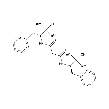 CCCC(O)(CCC)[C@@H](Cc1ccccc1)NC(=O)CC(=O)N[C@H](Cc1ccccc1)C(O)(CCC)CCC